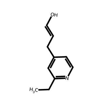 CCc1cc(CC=CO)ccn1